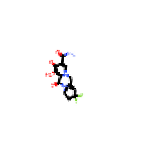 NC(=O)c1cn2c(c(O)c1=O)C(=O)N1C3CC(C1C2)C(F)(F)C3